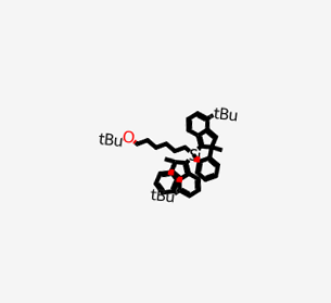 CC(C)(C)OCCCCCC[Si](C)(C1=c2cccc(C(C)(C)C)c2=CC1(C)c1ccccc1)C1=c2cccc(C(C)(C)C)c2=CC1(C)c1ccccc1